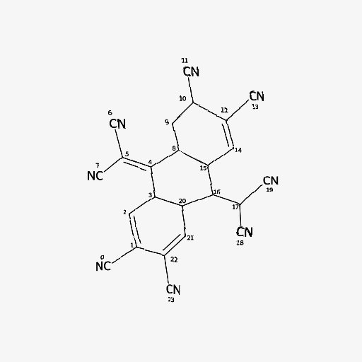 N#CC1=CC2C(=C(C#N)C#N)C3CC(C#N)C(C#N)=CC3C(C(C#N)C#N)C2C=C1C#N